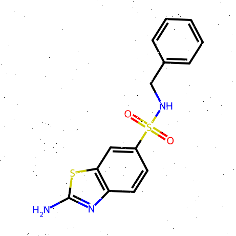 Nc1nc2ccc(S(=O)(=O)NCc3ccccc3)cc2s1